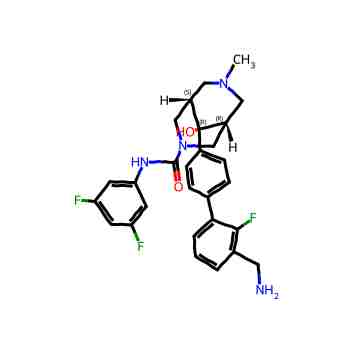 CN1C[C@@H]2CN(C(=O)Nc3cc(F)cc(F)c3)C[C@H](C1)[C@]2(O)c1ccc(-c2cccc(CN)c2F)cc1